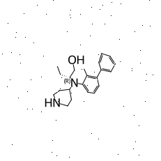 CC[C@H](CO)N(c1cccc(-c2ccccc2)c1C)C1CCNCC1